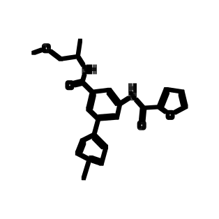 COCC(C)NC(=O)c1cc(NC(=O)c2ccco2)cc(-c2ccc(C)cc2)c1